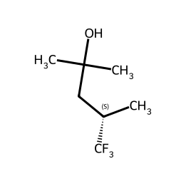 C[C@@H](CC(C)(C)O)C(F)(F)F